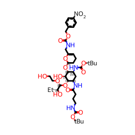 CC[C@@H](O)[C@H](OCCO)O[C@@H]1[C@@H](O)[C@H](O[C@@H]2CCC=C(CNC(=O)OCc3ccc([N+](=O)[O-])cc3)O2)[C@@H](NC(=O)OC(C)(C)C)C[C@H]1NC(=O)CCCNC(=O)OC(C)(C)C